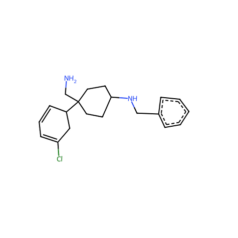 NCC1(C2C=CC=C(Cl)C2)CCC(NCc2ccccc2)CC1